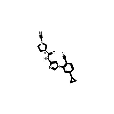 N#Cc1ccc(C2CC2)cc1-n1cnc(NC(=O)[C@H]2CCN(C#N)C2)c1